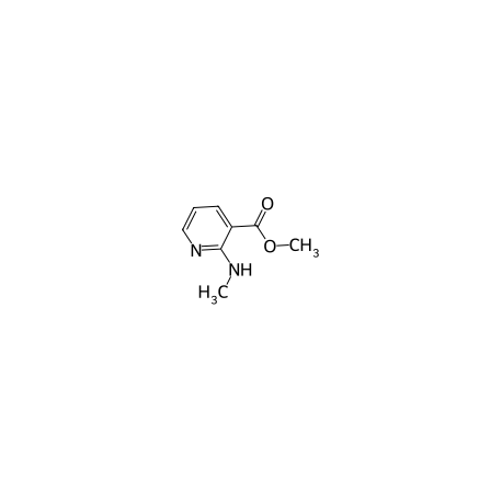 CNc1ncccc1C(=O)OC